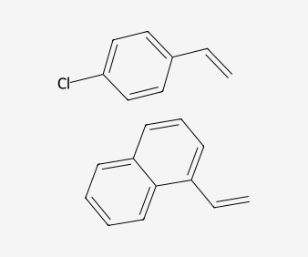 C=Cc1ccc(Cl)cc1.C=Cc1cccc2ccccc12